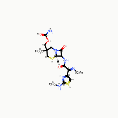 CON=C(C(=O)NC1C(=O)N2CC(COC(N)=O)(C(=O)O)CS[C@H]12)c1csc(NC=O)n1